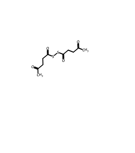 CC(=O)CCC(=O)SSC(=O)CCC(C)=O